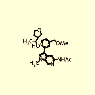 COCc1cc(-c2cn(C)c3cnc(NC(C)=O)cc23)nc([C@]2([C@@H](C)O)CCOC2)c1